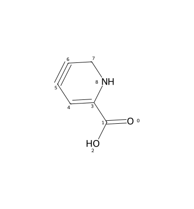 O=C(O)C1=CC#CCN1